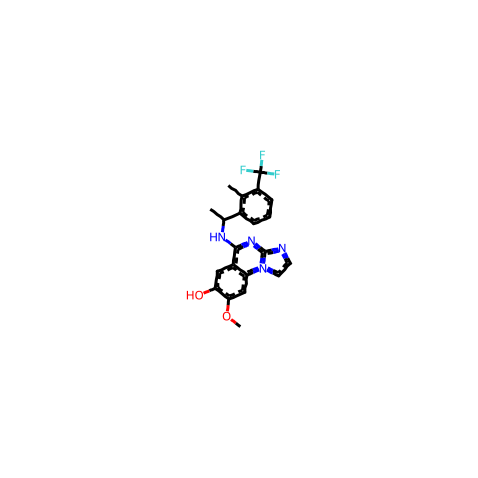 COc1cc2c(cc1O)c(NC(C)c1cccc(C(F)(F)F)c1C)nc1nccn12